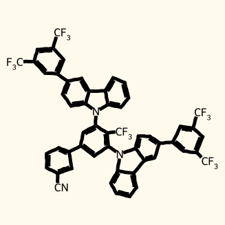 N#Cc1cccc(-c2cc(-n3c4ccccc4c4cc(-c5cc(C(F)(F)F)cc(C(F)(F)F)c5)ccc43)c(C(F)(F)F)c(-n3c4ccccc4c4cc(-c5cc(C(F)(F)F)cc(C(F)(F)F)c5)ccc43)c2)c1